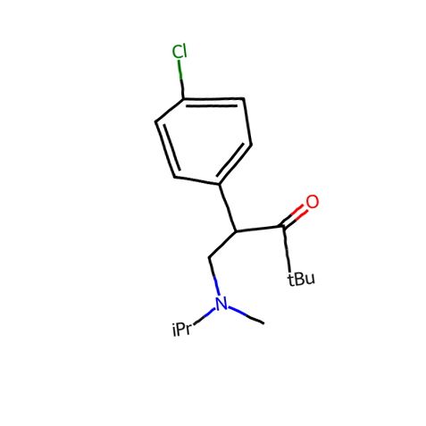 CC(C)N(C)CC(C(=O)C(C)(C)C)c1ccc(Cl)cc1